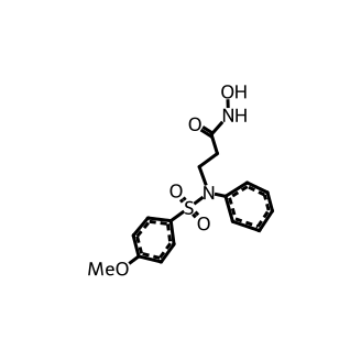 COc1ccc(S(=O)(=O)N(CCC(=O)NO)c2ccccc2)cc1